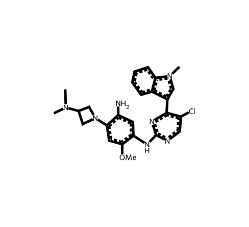 COc1cc(N2CC(N(C)C)C2)c(N)cc1Nc1ncc(Cl)c(-c2cn(C)c3ccccc23)n1